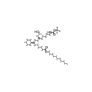 CCCCCCCCCCCOC(=O)CCCCCN(CCN(CCO)CCCCCNC(=O)OC(C)(C)C)C1CCCCC1